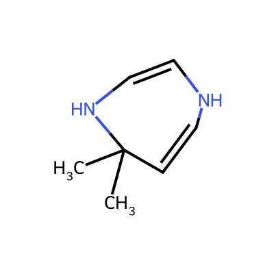 CC1(C)C=CNC=CN1